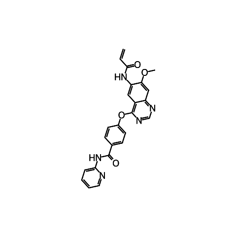 C=CC(=O)Nc1cc2c(Oc3ccc(C(=O)Nc4ccccn4)cc3)ncnc2cc1OC